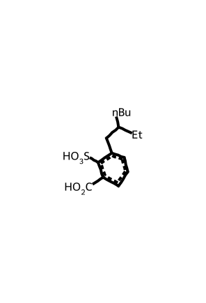 CCCCC(CC)Cc1cccc(C(=O)O)c1S(=O)(=O)O